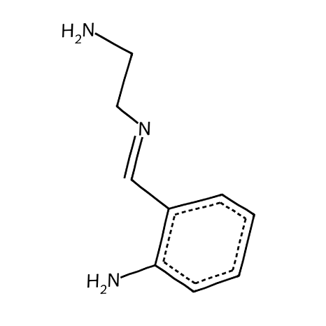 NCCN=Cc1ccccc1N